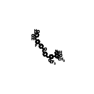 Cn1cc(-c2ccc(CC3CCN(CC(=O)C4CCN(c5ccc(NC6CCC(=O)NC6=O)cc5F)CC4)CC3)c(OC(F)(F)F)c2)c2cn[nH]c2c1=O